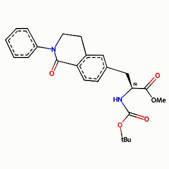 COC(=O)[C@H](Cc1ccc2c(c1)CCN(c1ccccc1)C2=O)NC(=O)OC(C)(C)C